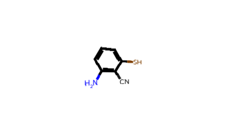 N#Cc1c(N)cccc1S